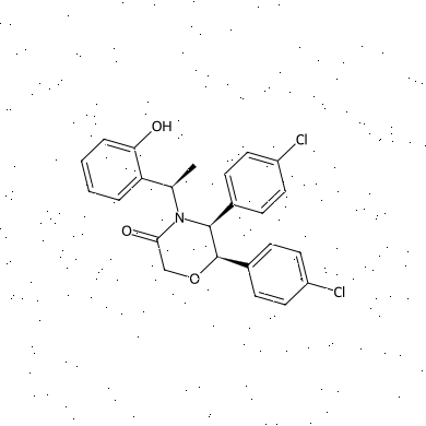 C[C@H](c1ccccc1O)N1C(=O)CO[C@H](c2ccc(Cl)cc2)[C@@H]1c1ccc(Cl)cc1